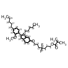 C=C(C)C(=O)OCCCC(F)(F)CCCOc1ccc2cc(-c3ccc(CCCCC)cc3OC)n(CCCCC)c2c1